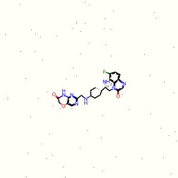 N[C@H](Cn1c(=O)cnc2ccc(F)cc21)[C@H]1CC[C@H](NCc2ncc3c(n2)NC(=O)CO3)CC1